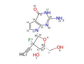 C#CC1(F)[C@@H](O)[C@@H](CO)O[C@H]1n1ccc2c(=O)[nH]c(N)nc21